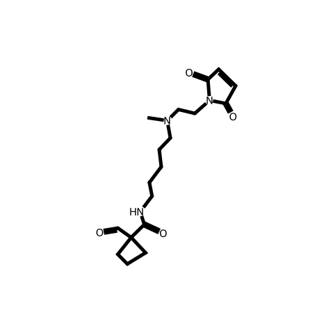 CN(CCCCCNC(=O)C1(C=O)CCC1)CCN1C(=O)C=CC1=O